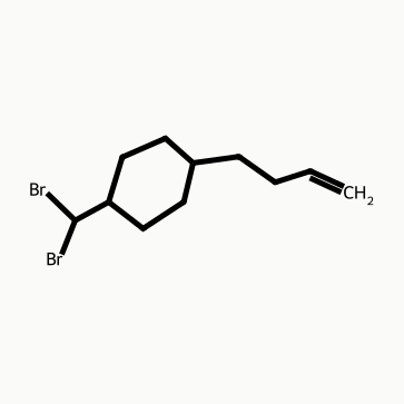 C=CCCC1CCC(C(Br)Br)CC1